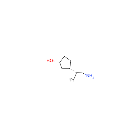 CC(C)C(CN)[C@H]1CC[C@@H](O)C1